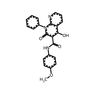 COc1ccc(NC(=O)c2c(O)c3cccnc3n(-c3ccccc3)c2=O)cc1